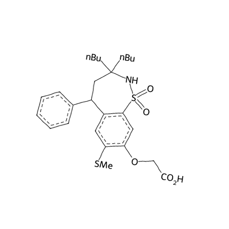 CCCCC1(CCCC)CC(c2ccccc2)c2cc(SC)c(OCC(=O)O)cc2S(=O)(=O)N1